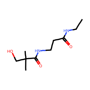 CCNC(=O)CCNC(=O)C(C)(C)CO